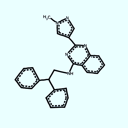 Cn1cc(-c2nc(NCC(c3ccccc3)c3ccccc3)c3ccccc3n2)cn1